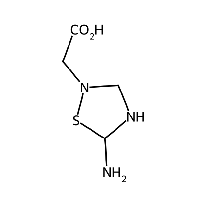 NC1NCN(CC(=O)O)S1